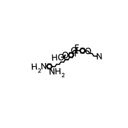 N#CCCCOc1ccc(C(F)(F)Oc2ccc(C=C(CCCCCc3ccc(N)cc3N)C(=O)O)cc2)cc1